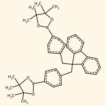 CC1(C)OB(c2ccc(CC3(Cc4ccc(B5OC(C)(C)C(C)(C)O5)cc4)c4ccccc4-c4ccccc43)cc2)OC1(C)C